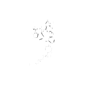 CCNCCNC1CCN(c2ccc(Nc3nc(Nc4cccc5c4N(S(C)(=O)=O)CC5)c4cc[nH]c4n3)cc2F)CC1